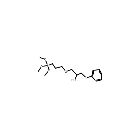 CO[Si](CCCOCC(O)CSc1ccccn1)(OC)OC